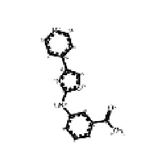 CC(=O)c1cccc(Nc2nc(-c3ccncc3)cs2)c1